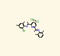 CC(=Nc1c(C)cccc1C)c1cccc(C(C)=Nc2c(C)cc(C)cc2Br)n1.[Cl][Fe][Cl]